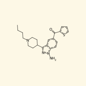 CCCCN1CCC(c2nn(N)c3ccc(C(=O)c4cccs4)cc23)CC1